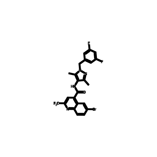 Cc1nn(Cc2cc(F)cc(F)c2)c(C)c1NC(=O)c1cc(C(F)(F)F)nc2ccc(Br)cc12